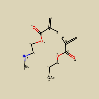 C=C(C)C(=O)OCCNC(C)(C)C.C=C(C)C(=O)OCCOC(C)=O